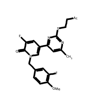 COc1ccc(Cn2cc(-c3cc(C)nc(SCCC(C)=O)n3)cc(F)c2=O)cc1F